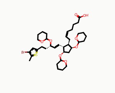 Cc1sc(CC[C@@H](/C=C/[C@@H]2[C@@H](C/C=C\CCCC(=O)O)[C@@H](OC3CCCCO3)C[C@H]2OC2CCCCO2)OC2CCCCO2)cc1Br